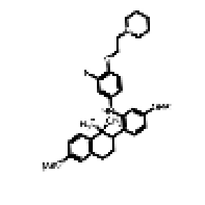 COc1ccc2c(c1)CCC(c1ccc(OC)cc1Nc1ccc(OCCN3CCCCC3)c(F)c1)C2(C)C